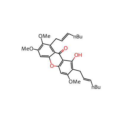 CCCCC=CCc1c(OC)cc2oc3cc(OC)c(OC)c(CC=CCCCC)c3c(=O)c2c1O